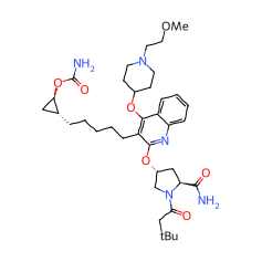 COCCN1CCC(Oc2c(CCCCC[C@@H]3C[C@H]3OC(N)=O)c(O[C@@H]3C[C@@H](C(N)=O)N(C(=O)CC(C)(C)C)C3)nc3ccccc23)CC1